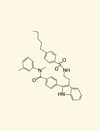 CCCCCc1ccc(S(=O)(=O)NCCc2c(-c3ccc(C(=O)N(C)c4cccc(C)c4)cc3)[nH]c3ccccc23)cc1